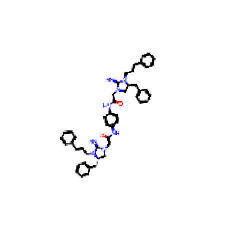 N=C1N(CC(=O)Nc2ccc(NC(=O)CN3C[C@H](Cc4ccccc4)N(CCCc4ccccc4)C3=N)cc2)CC(Cc2ccccc2)N1CCCc1ccccc1